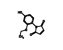 CCOc1cc(O)ccc1N1C(=O)C=CC1=O